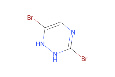 BrC1=CN=C(Br)NN1